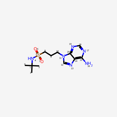 CC(C)(C)NS(=O)(=O)CCCn1cnc2c(N)ncnc21